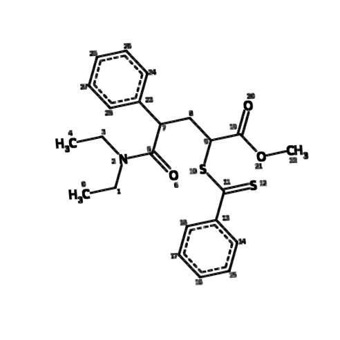 CCN(CC)C(=O)C(CC(SC(=S)c1ccccc1)C(=O)OC)c1ccccc1